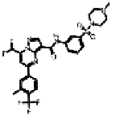 Cc1cc(-c2cc(C(F)F)n3ncc(C(=O)Nc4cccc(S(=O)(=O)N5CCN(C)CC5)c4)c3n2)ccc1C(F)(F)F